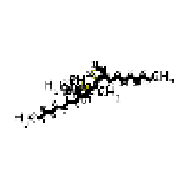 C=C(c1cc(CCCCCCCC)[c]([Sn]([CH3])([CH3])[CH3])s1)c1sccc1CCCCCCCC